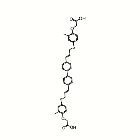 Cc1cc(SCC=Cc2ccc(-c3ccc(C=CCSc4ccc(OCC(=O)O)c(C)c4)cc3)cc2)ccc1OCC(=O)O